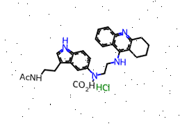 CC(=O)NCCc1c[nH]c2ccc(N(CCNc3c4c(nc5ccccc35)CCCC4)C(=O)O)cc12.Cl